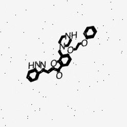 O=C1C(=Cc2n[nH]c3ccccc23)Oc2c1ccc(OCCOc1ccccc1)c2CN1CCNCC1